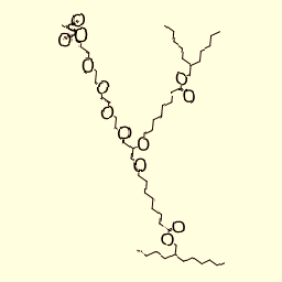 CCCCCCC(CCCC)COC(=O)CCCCCCCOCC(COCCOCCOCCOCCOS(C)(=O)=O)OCCCCCCCC(=O)OCC(CCCCC)CCCCC